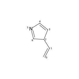 C=CC1C=CN=C1